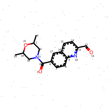 CC1CN(C(=O)c2ccc3nc(C=O)ccc3c2)CC(C)O1